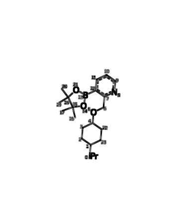 CC(C)C1CCC(OCc2ncccc2B2OC(C)(C)C(C)(C)O2)CC1